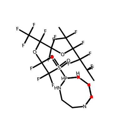 CC(F)(F)C(F)(F)C(F)(OC(F)(F)C(F)(OC(F)(F)C(F)(F)S(=O)(=O)[PH]12NCCN(CCN1)CCN2)C(F)(F)F)C(C)(F)F